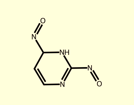 O=NC1=NC=CC(N=O)N1